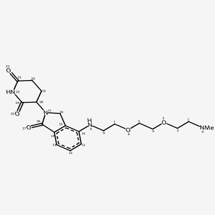 CNCCOCCOCCNc1cccc2c1CN(C1CCC(=O)NC1=O)C2=O